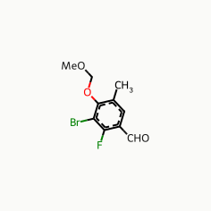 COCOc1c(C)cc(C=O)c(F)c1Br